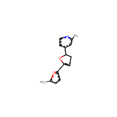 Cc1cc(C2CC=C(c3ccc(C(=O)O)o3)O2)ccn1